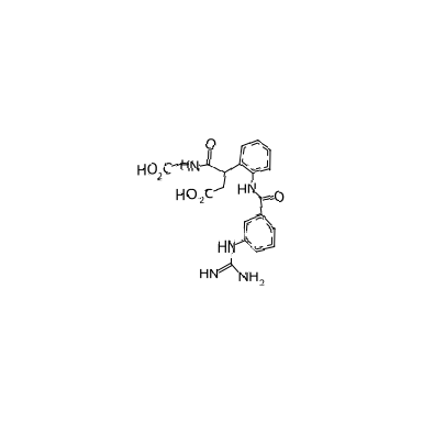 N=C(N)Nc1cccc(C(=O)Nc2ccccc2C(CC(=O)O)C(=O)NCC(=O)O)c1